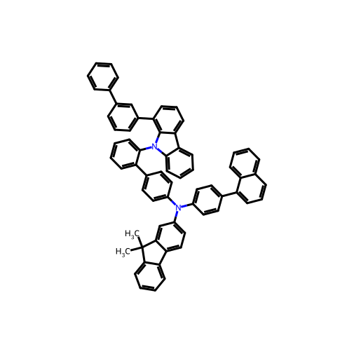 CC1(C)c2ccccc2-c2ccc(N(c3ccc(-c4ccccc4-n4c5ccccc5c5cccc(-c6cccc(-c7ccccc7)c6)c54)cc3)c3ccc(-c4cccc5ccccc45)cc3)cc21